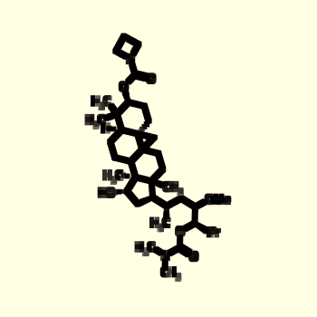 COC(C[C@@H](C)[C@H]1C[C@H](O)[C@@]2(C)C3CC[C@H]4C(C)(C)[C@@H](OC(=O)N5CCC5)CC[C@@]45CC35CC[C@]12C)[C@H](OC(=O)N(C)C)C(C)C